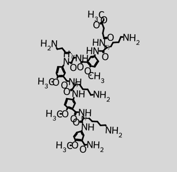 COC(=O)CCC(=O)N[C@@H](CCCCN)C(=O)Nc1ccc(OC)c(C(=O)N[C@@H](CCCCN)C(=O)Nc2ccc(OC)c(C(=O)N[C@@H](CCCCN)C(=O)Nc3ccc(OC)c(C(=O)N[C@@H](CCCCCN)C(=O)Nc4ccc(OC)c(C(N)=O)c4)c3)c2)c1